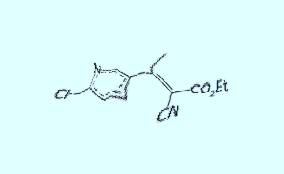 CCOC(=O)/C(C#N)=C(\C)c1ccc(Cl)nc1